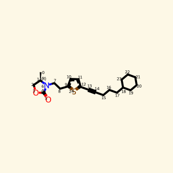 C[C@@H]1COC(=O)N1CCc1ccc(C#CCCCC2CCCCC2)s1